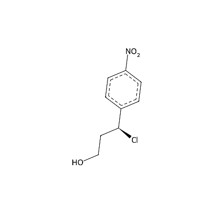 O=[N+]([O-])c1ccc([C@@H](Cl)CCO)cc1